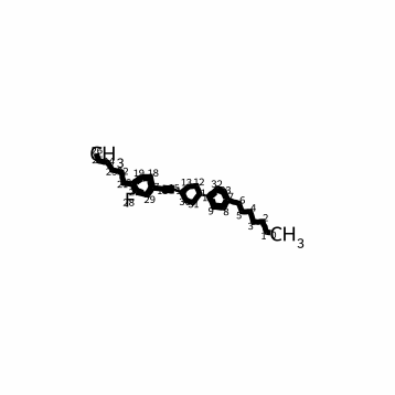 CCCCCCCc1ccc([C@H]2CC[C@H](C#Cc3ccc(CCCCCC)c(F)c3)CC2)cc1